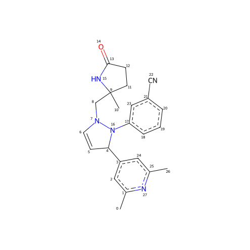 Cc1cc(C2C=CN(CC3(C)CCC(=O)N3)N2c2cccc(C#N)c2)cc(C)n1